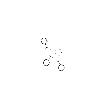 CC(C)S[C@H]1C[C@@H](OC(=O)c2ccccc2)[C@@H](OC(=O)c2ccccc2)[C@@H](COC(=O)c2ccccc2)O1